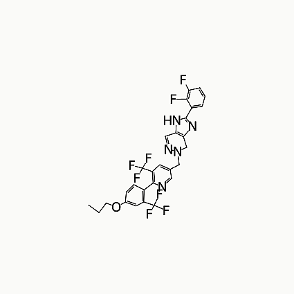 CCCOc1ccc(-c2ncc(CN3Cc4nc(-c5cccc(F)c5F)[nH]c4C=N3)cc2C(F)(F)F)c(C(F)(F)F)c1